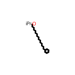 CC(C)C(=O)CCCCCCCCCCCCCCCc1ccccc1